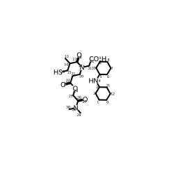 C1CCC(NC2CCCCC2)CC1.CC(CS)C(=O)N(CCC(=O)OCC(=O)N(C)C)CC(=O)O